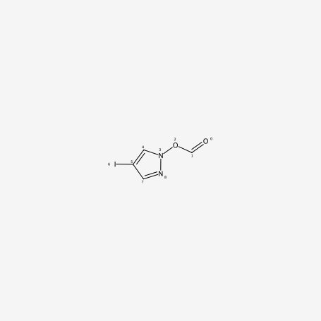 O=COn1cc(I)cn1